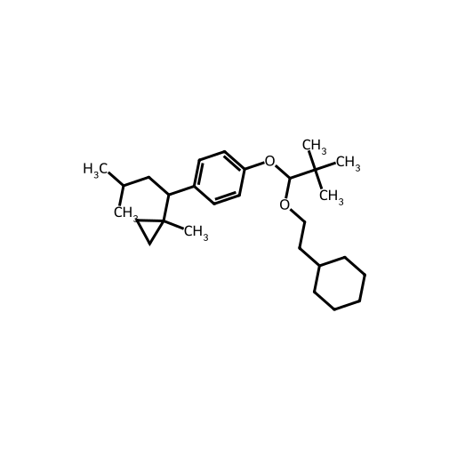 CC(C)CC(c1ccc(OC(OCCC2CCCCC2)C(C)(C)C)cc1)C1(C)CC1